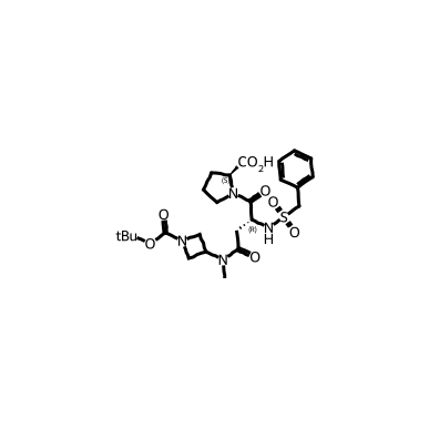 CN(C(=O)C[C@@H](NS(=O)(=O)Cc1ccccc1)C(=O)N1CCC[C@H]1C(=O)O)C1CN(C(=O)OC(C)(C)C)C1